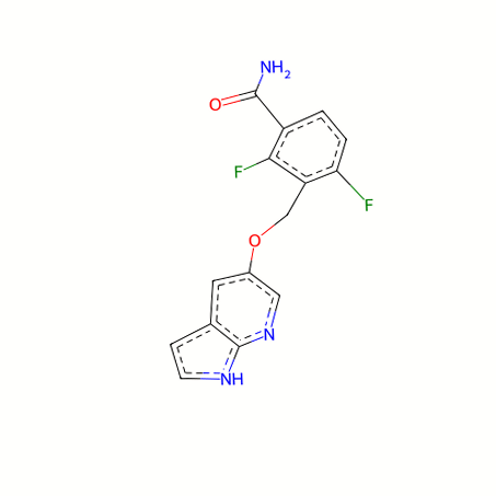 NC(=O)c1ccc(F)c(COc2cnc3[nH]ccc3c2)c1F